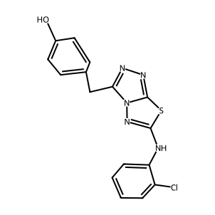 Oc1ccc(Cc2nnc3sc(Nc4ccccc4Cl)nn23)cc1